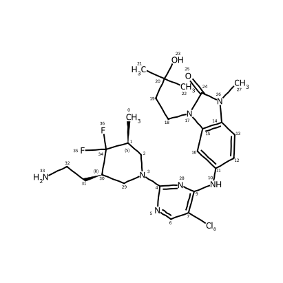 C[C@H]1CN(c2ncc(Cl)c(Nc3ccc4c(c3)n(CCC(C)(C)O)c(=O)n4C)n2)C[C@@H](CCN)C1(F)F